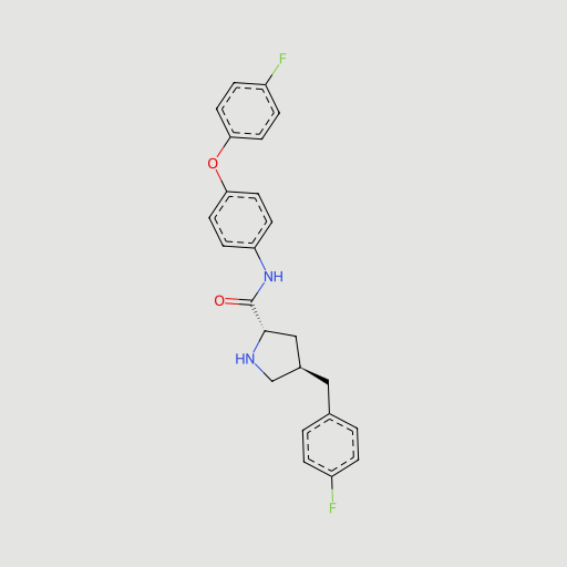 O=C(Nc1ccc(Oc2ccc(F)cc2)cc1)[C@@H]1C[C@@H](Cc2ccc(F)cc2)CN1